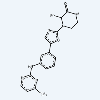 Cc1ccnc(Nc2cccc(-c3cnc(N4CCNC(=O)C4C(C)C)o3)c2)n1